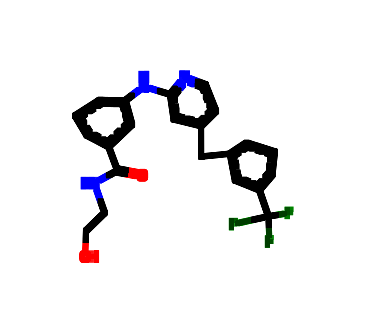 O=C(NCCO)c1cccc(Nc2cc(Cc3cccc(C(F)(F)F)c3)ccn2)c1